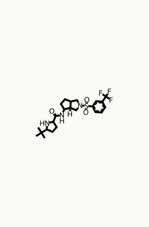 CC(C)(C)C1CCC(C(=O)NC2CCC3CN(S(=O)(=O)c4cccc(C(F)(F)F)c4)C[C@@H]32)N1